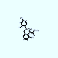 CCc1ccc(OCc2cccc(F)c2N(O)C(=O)SC)c(C)c1